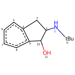 CC(C)(C)NC1Cc2ccccc2C1O